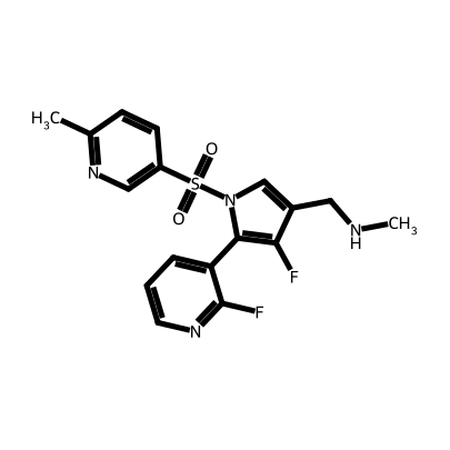 CNCc1cn(S(=O)(=O)c2ccc(C)nc2)c(-c2cccnc2F)c1F